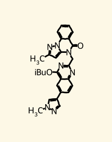 Cc1cc2n(Cc3nc(OCC(C)C)c4cc(-c5cnn(C)c5)ccc4n3)c(=O)c3ccccc3n2n1